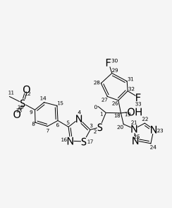 CC(Sc1nc(-c2ccc(S(C)(=O)=O)cc2)ns1)C(O)(Cn1cncn1)c1ccc(F)cc1F